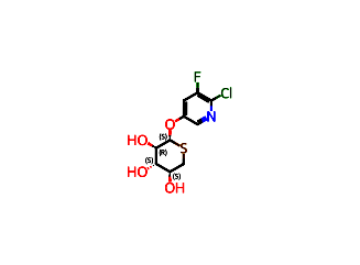 O[C@@H]1[C@@H](O)[C@@H](Oc2cnc(Cl)c(F)c2)SC[C@H]1O